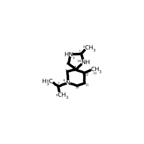 CC1NCC2(CN(C(C)C)CCC2C)N1